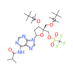 CC(C)C(=O)Nc1ncnc2c1ncn2[C@H]1C[C@H](O[Si](C)(C)C(C)(C)C)[C@](CO[Si](C)(C)C(C)(C)C)(COS(=O)(=O)C(F)(F)F)O1